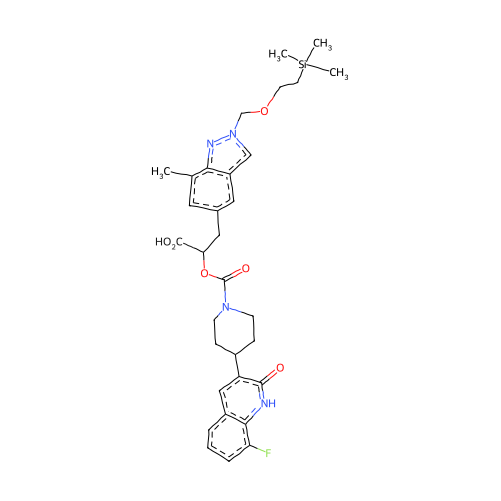 Cc1cc(CC(OC(=O)N2CCC(c3cc4cccc(F)c4[nH]c3=O)CC2)C(=O)O)cc2cn(COCC[Si](C)(C)C)nc12